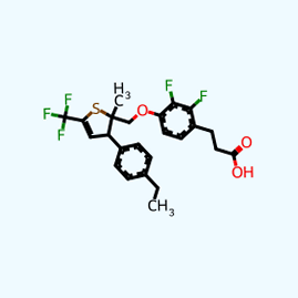 CCc1ccc(C2C=C(C(F)(F)F)SC2(C)COc2ccc(CCC(=O)O)c(F)c2F)cc1